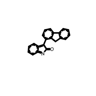 O=C1N=c2ccccc2=C1c1cccc2c1Cc1ccccc1-2